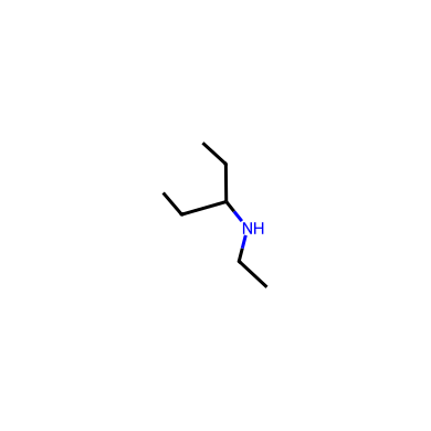 CCNC(CC)CC